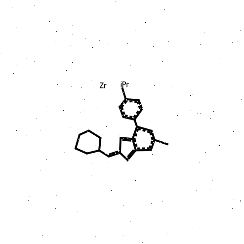 Cc1cc(-c2ccc(C(C)C)cc2)c2c(c1)=[C]C(=CC1CCCCC1)C=2.[Zr]